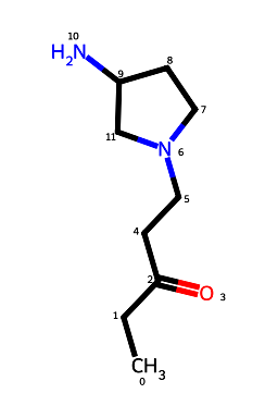 CCC(=O)CCN1CCC(N)C1